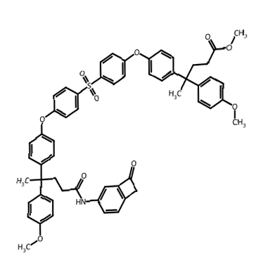 COC(=O)CCC(C)(c1ccc(OC)cc1)c1ccc(Oc2ccc(S(=O)(=O)c3ccc(Oc4ccc(C(C)(CCC(=O)Nc5ccc6c(c5)C(=O)C6)c5ccc(OC)cc5)cc4)cc3)cc2)cc1